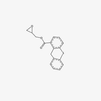 O=C(OCC1CO1)c1cccc2c1Cc1ccccc1S2